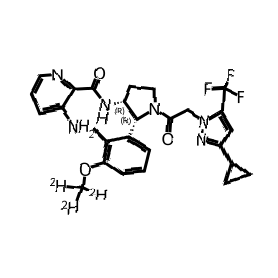 [2H]C([2H])([2H])Oc1cccc([C@@H]2[C@H](NC(=O)c3ncccc3N)CCN2C(=O)Cn2nc(C3CC3)cc2C(F)(F)F)c1C